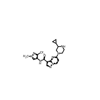 Cn1cc(NC(=O)c2cnn3ccc(N4CCNC(C5CC5)C4)nc23)c(C(F)(F)F)n1